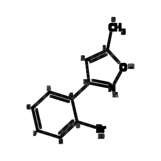 Cc1[c]c(-c2ccccc2Br)no1